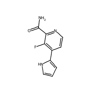 NC(=O)c1nccc(-c2ccc[nH]2)c1F